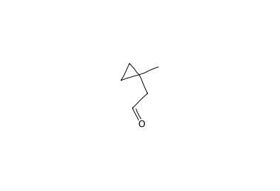 CC1(CC=O)CC1